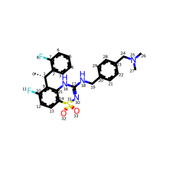 C[C@H](c1ccccc1F)c1c(F)ccc2c1NC(NCc1ccc(CN(C)C)cc1)=NS2(=O)=O